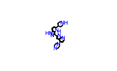 CN1CCN(c2ccnc3[nH]c(-c4n[nH]c5ccc(C6CCNCC6)nc45)cc23)CC1